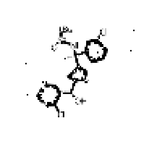 CC(C)(C)[S+]([O-])N[C@@](C)(c1cccc(Cl)c1)c1csc([C@@H](O)c2cncnc2Cl)c1